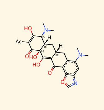 CC(=O)C1=C(O)[C@@H](N(C)C)[C@@H]2C[C@@H]3Cc4c(N(C)C)cc5ncoc5c4C(=O)C3=C(O)[C@]2(O)C1=O